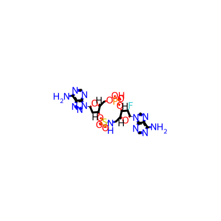 Nc1ncnc2c1ncn2[C@@H]1O[C@@H]2CNS(=O)(=O)O[C@H]3C[C@H](n4nnc5c(N)ncnc54)O[C@@H]3COP(=O)(O)O[C@H]2[C@H]1F